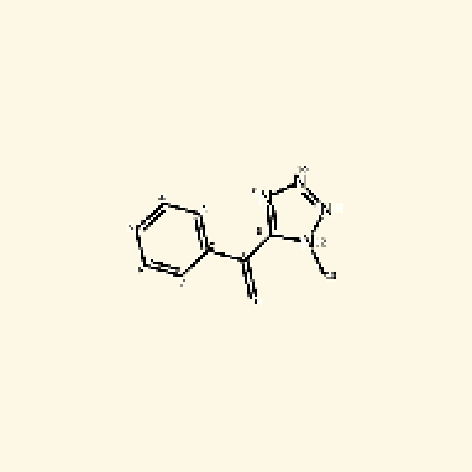 C=C(c1ccccc1)c1nnnn1C